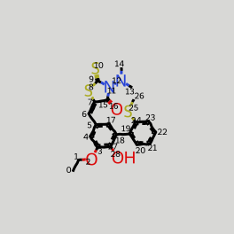 CCOc1cc(C=C2SC(=S)N(N(C)C)C2=O)cc(-c2ccccc2SC)c1O